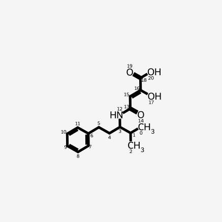 CC(C)C(CCc1ccccc1)NC(=O)C=C(O)C(=O)O